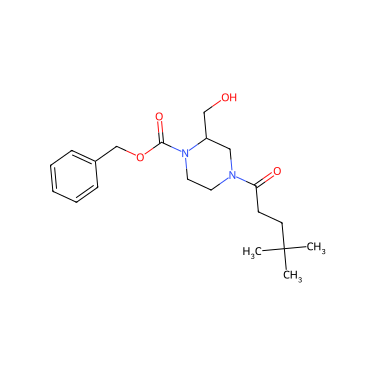 CC(C)(C)CCC(=O)N1CCN(C(=O)OCc2ccccc2)C(CO)C1